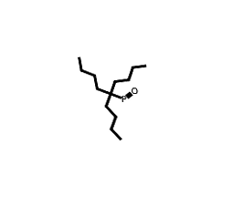 CCCCC(CCCC)(CCCC)P=O